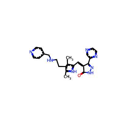 Cc1[nH]c(C=C2C(=O)NN=C2c2cnccn2)c(C)c1CCNCc1ccncc1